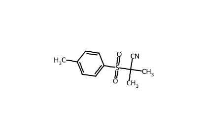 Cc1ccc(S(=O)(=O)C(C)(C)C#N)cc1